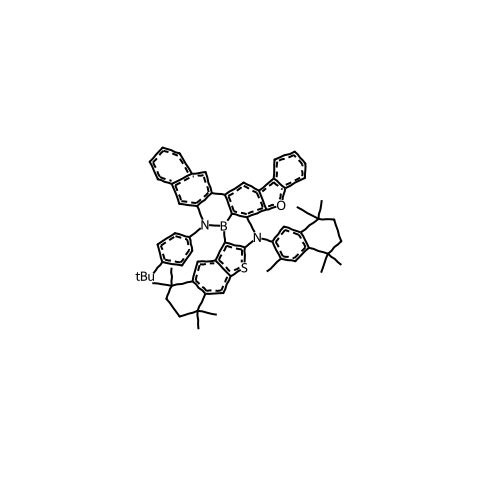 Cc1cc2c(cc1N1c3sc4cc5c(cc4c3B3c4c(cc6c(oc7ccccc76)c41)-c1cc4ccccc4cc1N3c1ccc(C(C)(C)C)cc1)C(C)(C)CCC5(C)C)C(C)(C)CCC2(C)C